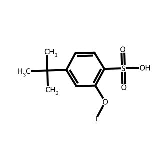 CC(C)(C)c1ccc(S(=O)(=O)O)c(OI)c1